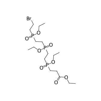 CCOC(=O)CCP(=O)(CCP(=O)(CCP(=O)(CCBr)OCC)OCC)OCC